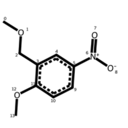 COCc1cc([N+](=O)[O-])ccc1OC